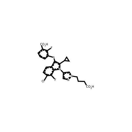 O=C(O)CCCn1cc(-n2c(C3CC3)c(Sc3cccc(C(=O)O)c3F)c3ccc(Cl)c(F)c32)cn1